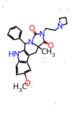 COc1ccc2[nH]c3c(c2c1)CC1(C)C(=O)N(CCN2CCC2)C(=O)N1C3c1ccccc1